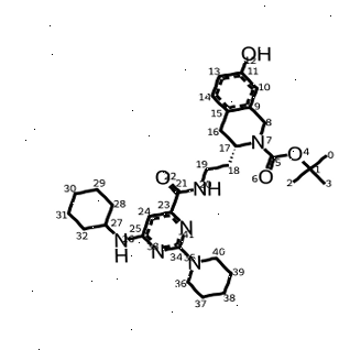 CC(C)(C)OC(=O)N1Cc2cc(O)ccc2C[C@H]1CCNC(=O)c1cc(NC2CCCCC2)nc(N2CCCCC2)n1